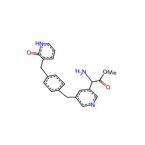 COC(=O)C(N)c1cncc(Cc2ccc(Cc3ccc[nH]c3=O)cc2)c1